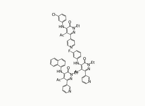 CCn1nc(-c2cccnc2)c(C(C)=O)c(Nc2cccc(F)c2)c1=O.CCn1nc(-c2cccnc2)c(C(C)=O)c(Nc2cccc3ccccc23)c1=O.CCn1nc(-c2ccncc2)c(C(C)=O)c(Nc2cccc(Cl)c2)c1=O